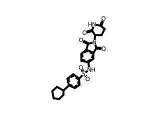 O=C1CCC(N2C(=O)c3ccc(NS(=O)(=O)c4ccc(C5CCCCC5)cc4)cc3C2=O)C(=O)N1